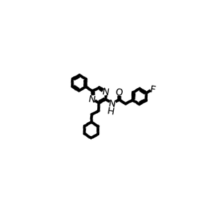 O=C(Cc1ccc(F)cc1)Nc1ncc(-c2ccccc2)nc1CCC1CCCCC1